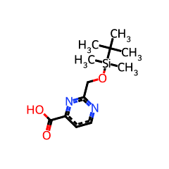 CC(C)(C)[Si](C)(C)OCc1nccc(C(=O)O)n1